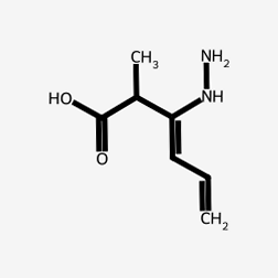 C=C/C=C(\NN)C(C)C(=O)O